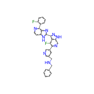 Fc1ccccc1-c1nccc2[nH]c(-c3n[nH]c4cnc(-c5cncc(CNCc6ccccc6)c5)c(F)c34)nc12